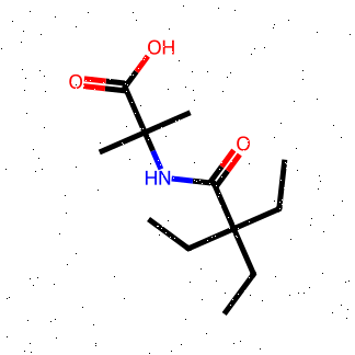 CCC(CC)(CC)C(=O)NC(C)(C)C(=O)O